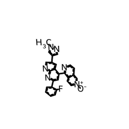 Cn1cc(-c2cnc3nc(-c4ccccc4F)cc(-c4nccc5c[n+]([O-])ccc45)c3c2)cn1